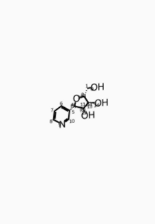 OC[C@H]1O[C@@H](c2cccnc2)[C@H](O)[C@@H]1O